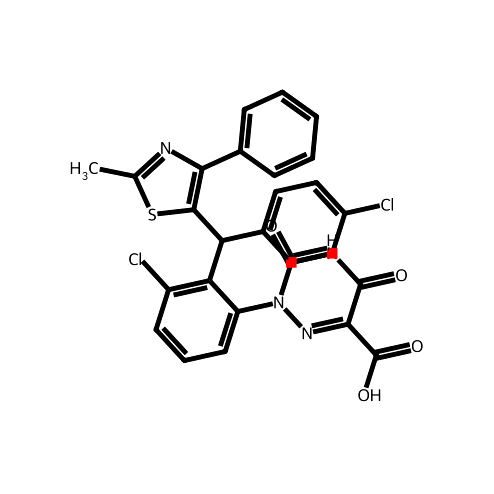 Cc1nc(-c2ccccc2)c(C(c2ccc(Cl)cc2)c2c(Cl)cccc2-n2nc(C(=O)O)c(=O)[nH]c2=O)s1